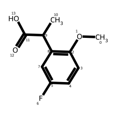 COc1ccc(F)cc1C(C)C(=O)O